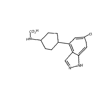 O=C(O)NC1CCC(c2cc(Cl)cc3[nH]ncc23)CC1